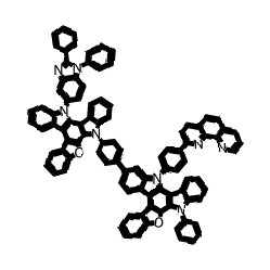 c1ccc(-c2nc3cc(-n4c5ccccc5c5c6c7ccccc7oc6c6c(c7ccccc7n6-c6ccc(-c7ccc8c9c%10c%11ccccc%11oc%10c%10c(c%11ccccc%11n%10-c%10ccccc%10)c9n(-c9ccc(-c%10ccc%11ccc%12cccnc%12c%11n%10)cc9)c8c7)cc6)c54)ccc3n2-c2ccccc2)cc1